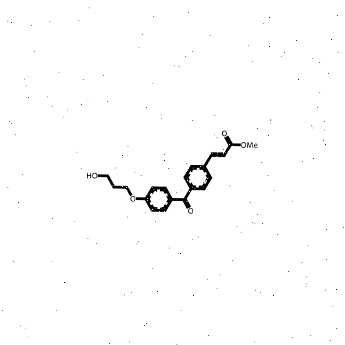 COC(=O)C=Cc1ccc(C(=O)c2ccc(OCCCO)cc2)cc1